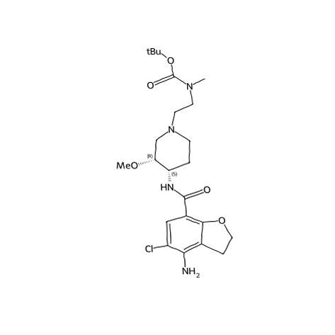 CO[C@@H]1CN(CCN(C)C(=O)OC(C)(C)C)CC[C@@H]1NC(=O)c1cc(Cl)c(N)c2c1OCC2